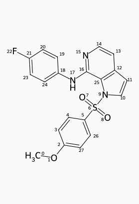 COc1ccc(S(=O)(=O)n2ccc3ccnc(Nc4ccc(F)cc4)c32)cc1